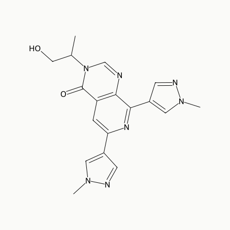 CC(CO)n1cnc2c(-c3cnn(C)c3)nc(-c3cnn(C)c3)cc2c1=O